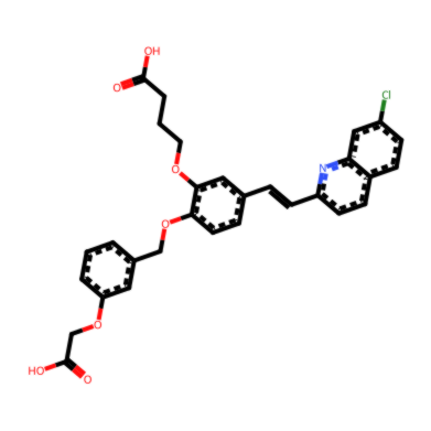 O=C(O)CCCOc1cc(C=Cc2ccc3ccc(Cl)cc3n2)ccc1OCc1cccc(OCC(=O)O)c1